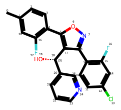 Cc1ccc(-c2onc(-c3ccc(Cl)cc3F)c2[C@@H](O)c2cccnc2)c(F)c1